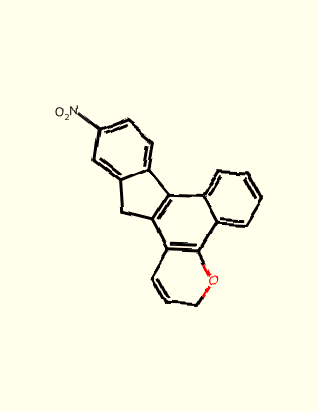 O=[N+]([O-])c1ccc2c(c1)Cc1c3c(c4ccccc4c1-2)OCC=C3